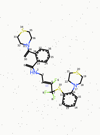 C=C(NC/C=C(\F)C(F)(F)Sc1ccccc1N1CCSCC1)c1ccccc1C(=C)N1CCSCC1